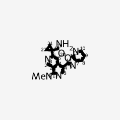 CNc1ncc(-c2nc3cccnc3o2)c2cc(C3(C(N)=O)CC3)ncc12